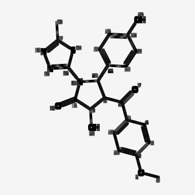 COc1ccc(C(=O)C2C(O)C(=O)N(c3nnc(C)s3)C2c2ccc(O)cc2)cc1